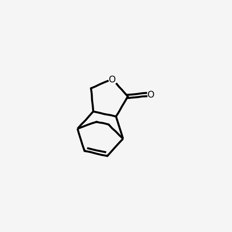 O=C1OCC2C3C=CC(CC3)C12